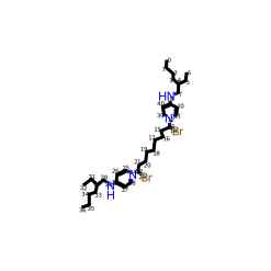 CCCCC(CC)CNc1cc[n+](C(Br)CCCCCCCC(Br)[n+]2ccc(NCC(CC)CCCC)cc2)cc1